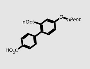 CCCCCCCCc1cc(OCCCCC)ccc1-c1ccc(C(=O)O)cc1